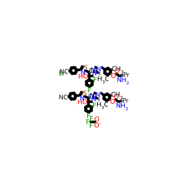 Cc1cc(C[n+]2cnn(CC(O)(c3ccc(F)cc3F)C(C)c3nc(-c4ccc(C#N)cc4)cs3)c2)cc(C)c1OC(=O)C(N)C(C)C.Cc1cc(C[n+]2cnn(C[C@](O)(c3ccc(F)cc3F)[C@@H](C)c3nc(-c4ccc(C#N)cc4)cs3)c2)cc(C)c1OC(=O)C(N)C(C)C.O=C([O-])C(F)(F)F.[Br-]